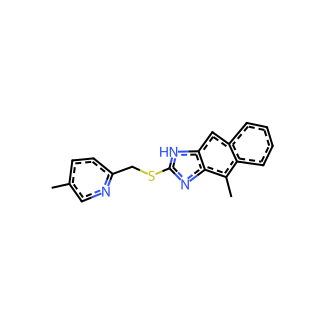 Cc1ccc(CSc2nc3c(C)c4ccccc4cc3[nH]2)nc1